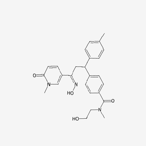 Cc1ccc(C(CC(=NO)c2ccc(=O)n(C)c2)c2ccc(C(=O)N(C)CCO)cc2)cc1